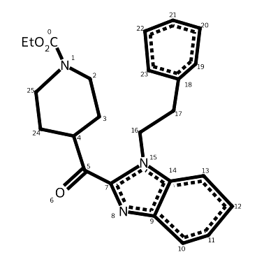 CCOC(=O)N1CCC(C(=O)c2nc3ccccc3n2CCc2ccccc2)CC1